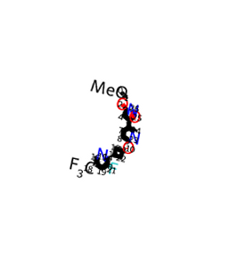 COCOc1cc(-c2ccc(O[C@H]3C[C@@H](c4ncc(C(F)(F)F)cc4F)C3)nc2)on1